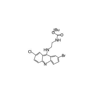 CC(C)(C)OC(=O)NCCNc1c2cc(Cl)ccc2nc2ccc(Br)cc12